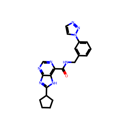 O=C(NCc1cccc(-n2ccnn2)c1)c1ncnc2nc(C3CCCC3)[nH]c12